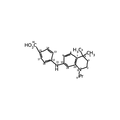 CC(C)N1CCC(C)(C)c2ccc(Nc3ccc(C(=O)O)cc3)cc21